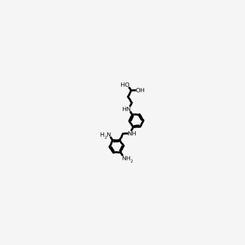 Nc1ccc(N)c(CNc2cccc(NCCC(O)O)c2)c1